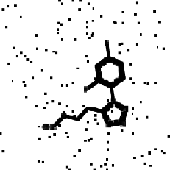 O=[C]OCCc1nnnn1-c1ccc(F)cc1F